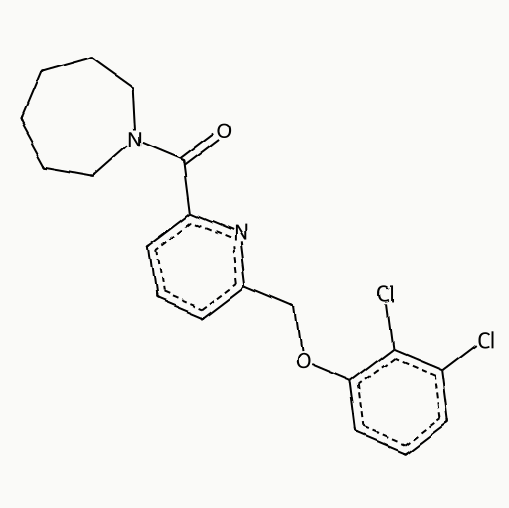 O=C(c1cccc(COc2cccc(Cl)c2Cl)n1)N1CCCCCC1